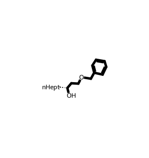 CCCCCCC[C@@H](O)CCOCc1ccccc1